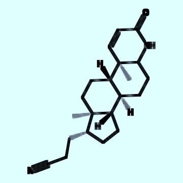 C[C@]12CC[C@H]3[C@@H](CCC4NC(=O)C=C[C@@]43C)[C@@H]1CC[C@@H]2CCC#N